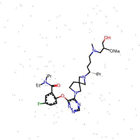 CCN(C(=O)c1cc(F)ccc1Oc1nncnc1N1CCC2(C1)CN([C@H](CCCN(C)CC(CO)OC)C(C)C)C2)C(C)C